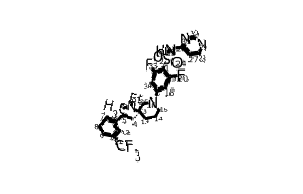 CCN(C)[C@]1(CCc2cccc(C(F)(F)F)c2)CCCN(c2cc(F)c(S(=O)(=O)Nc3ccncn3)c(F)c2)C1